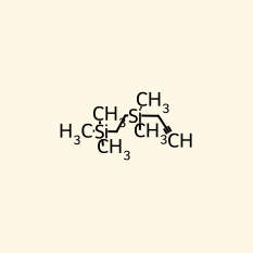 C#CC[Si](C)(C)CC[Si](C)(C)C